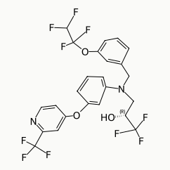 O[C@H](CN(Cc1cccc(OC(F)(F)C(F)F)c1)c1cccc(Oc2ccnc(C(F)(F)F)c2)c1)C(F)(F)F